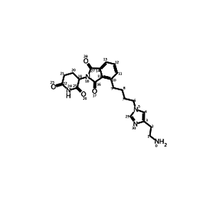 NCCc1cn(CCCCc2cccc3c2C(=O)N(C2CCC(=O)NC2=O)C3=O)cn1